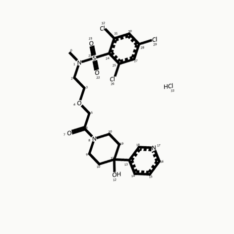 CN(CCOCC(=O)N1CCC(O)(c2cccnc2)CC1)S(=O)(=O)c1c(Cl)cc(Cl)cc1Cl.Cl